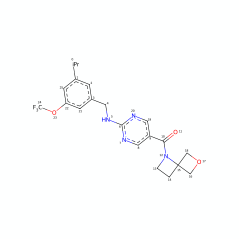 CC(C)c1cc(CNc2ncc(C(=O)N3CCC34COC4)cn2)cc(OC(F)(F)F)c1